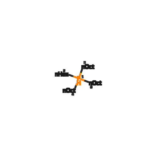 CCCCCCCC[PH](CCCCCC)(CCCCCCCC)CCCCCCCC